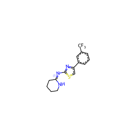 FC(F)(F)c1cccc(-c2csc(/N=C3/CCCCN3)n2)c1